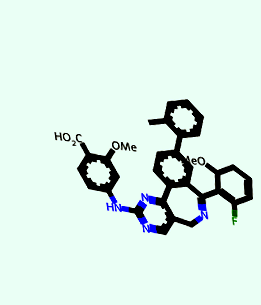 COc1cc(Nc2ncc3c(n2)-c2ccc(-c4ccccc4C)cc2C(C2=C(F)C=CCC2OC)=NC3)ccc1C(=O)O